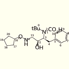 CC(C)(C)N(C(=O)O)[C@@H](Cc1ccccc1)[C@@H](O)CNOC1CCCC1